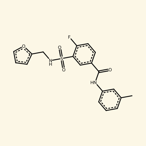 Cc1cccc(NC(=O)c2ccc(F)c(S(=O)(=O)NCc3ccco3)c2)c1